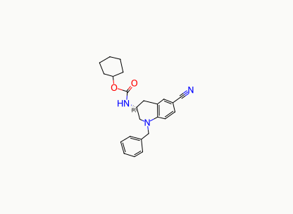 N#Cc1ccc2c(c1)C[C@@H](NC(=O)OC1CCCCC1)CN2Cc1ccccc1